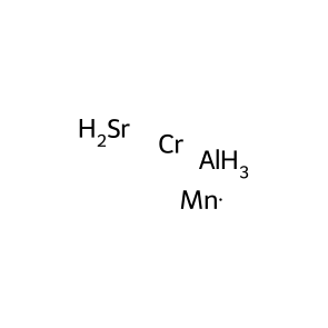 [AlH3].[Cr].[Mn].[SrH2]